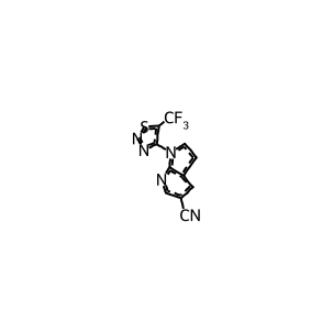 N#Cc1cnc2c(ccn2-c2nnsc2C(F)(F)F)c1